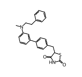 CN(CCc1ccccc1)c1cccc(-c2ccc(CC3SC(=O)NC3=O)cc2)c1